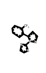 FC(F)(F)c1ccccc1-c1ccnn1-c1nccs1